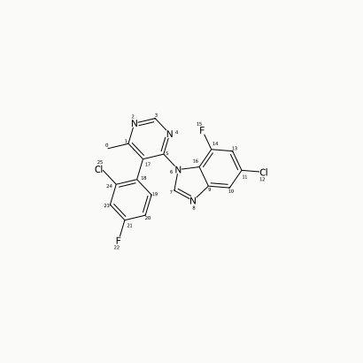 Cc1ncnc(-n2cnc3cc(Cl)cc(F)c32)c1-c1ccc(F)cc1Cl